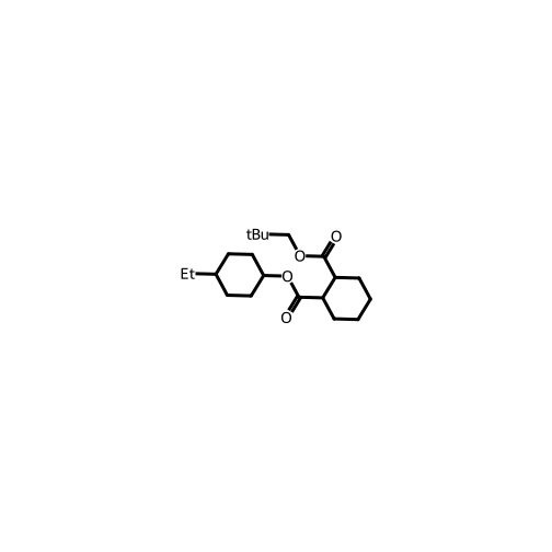 CCC1CCC(OC(=O)C2CCCCC2C(=O)OCC(C)(C)C)CC1